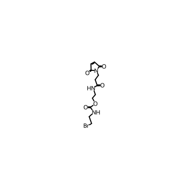 O=C(CCN1C(=O)C=CC1=O)NCCOC(=O)NCCBr